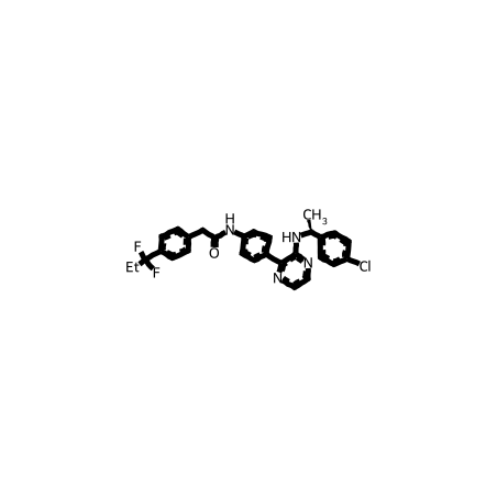 CCC(F)(F)c1ccc(CC(=O)Nc2ccc(-c3nccnc3N[C@@H](C)c3ccc(Cl)cc3)cc2)cc1